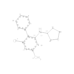 Cc1nc(Cl)c(-c2ccccc2)c(NC2CCCC2)n1